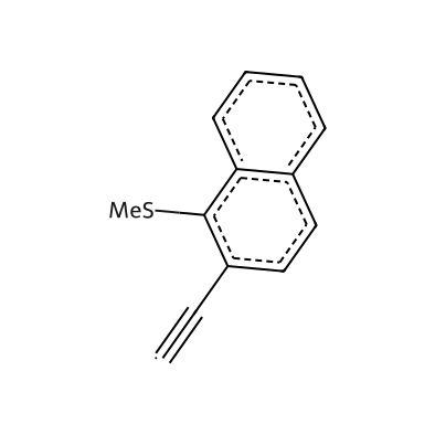 [C]#Cc1ccc2ccccc2c1SC